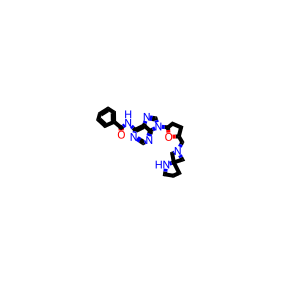 O=C(Nc1ncnc2c1ncn2C1CCC(CN2CC3(CCCN3)C2)O1)c1ccccc1